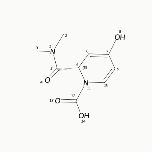 CN(C)C(=O)[C@@H]1C=C(O)C=CN1C(=O)O